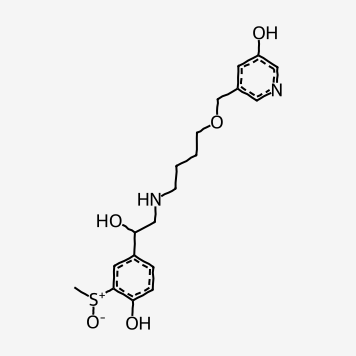 C[S+]([O-])c1cc(C(O)CNCCCCOCc2cncc(O)c2)ccc1O